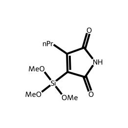 CCCC1=C([Si](OC)(OC)OC)C(=O)NC1=O